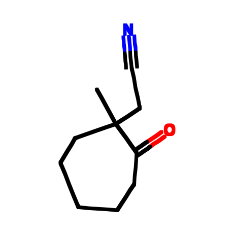 CC1(CC#N)CCCCCC1=O